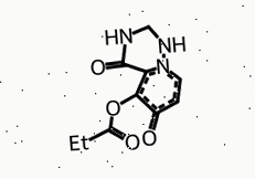 CCC(=O)Oc1c2n(ccc1=O)NCNC2=O